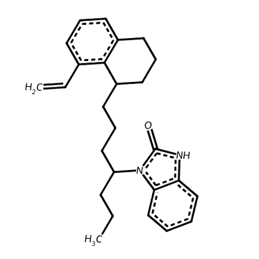 C=Cc1cccc2c1C(CCCC(CCC)n1c(=O)[nH]c3ccccc31)CCC2